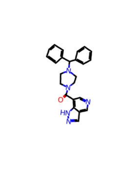 O=C(c1cncc2cn[nH]c12)N1CCN(C(c2ccccc2)c2ccccc2)CC1